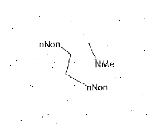 CCCCCCCCCCCCCCCCCCCC.CNC